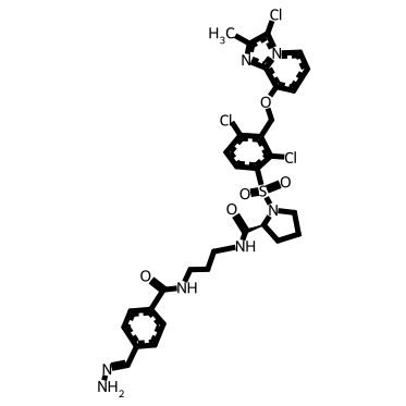 Cc1nc2c(OCc3c(Cl)ccc(S(=O)(=O)N4CCC[C@H]4C(=O)NCCCNC(=O)c4ccc(C=NN)cc4)c3Cl)cccn2c1Cl